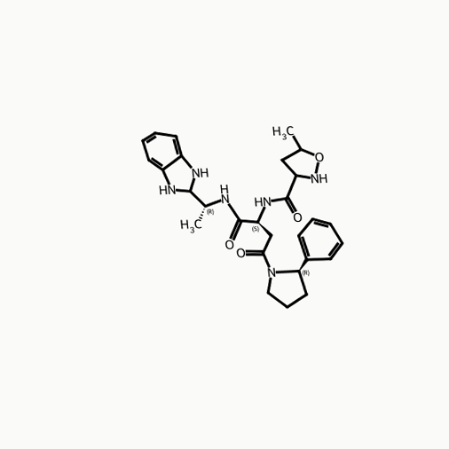 CC1CC(C(=O)N[C@@H](CC(=O)N2CCC[C@@H]2c2ccccc2)C(=O)N[C@H](C)C2Nc3ccccc3N2)NO1